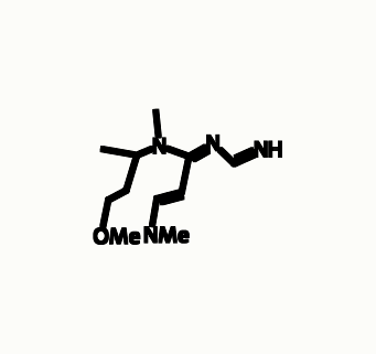 CN/C=C/C(=N\C=N)N(C)C(C)CCOC